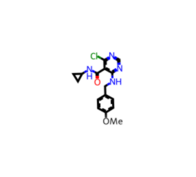 COc1ccc(CNc2ncnc(Cl)c2C(=O)NC2CC2)cc1